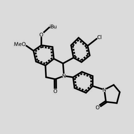 CCC(C)Oc1cc2c(cc1OC)CC(=O)N(c1ccc(N3CCCC3=O)cc1)C2c1ccc(Cl)cc1